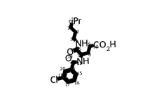 CC(C)CCCNC(=O)C(CCC(=O)O)NC(=O)c1cccc(Cl)c1